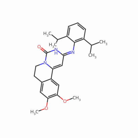 COc1cc2c(cc1OC)-c1cc(=Nc3c(C(C)C)cccc3C(C)C)[nH]c(=O)n1CC2